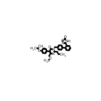 CCCc1nc(COC)c(-c2ccc(OC(C)C)cc2)c(=O)n1Cc1ccc(-c2ccccc2-c2noc(=O)[nH]2)cc1